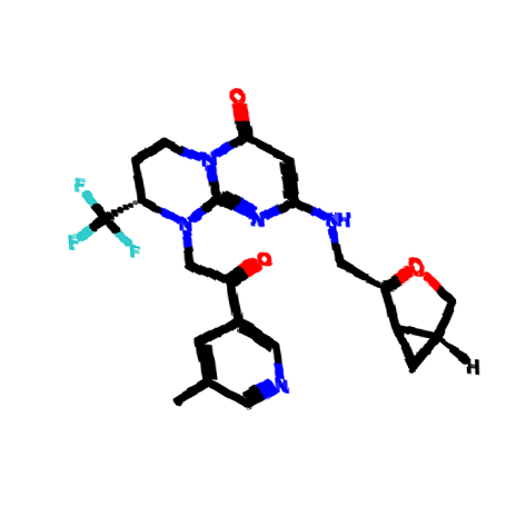 Cc1cncc(C(=O)CN2c3nc(NC[C@H]4OC[C@@H]5CC54)cc(=O)n3CC[C@H]2C(F)(F)F)c1